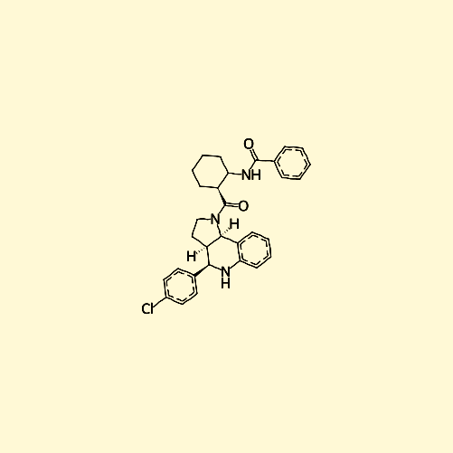 O=C(NC1CCCC[C@@H]1C(=O)N1CC[C@@H]2[C@H](c3ccc(Cl)cc3)Nc3ccccc3[C@@H]21)c1ccccc1